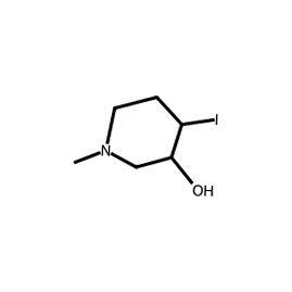 CN1CCC(I)C(O)C1